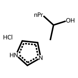 CCCC(C)O.Cl.c1c[nH]cn1